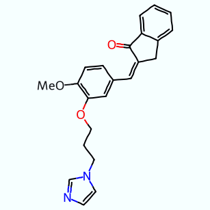 COc1ccc(C=C2Cc3ccccc3C2=O)cc1OCCCn1ccnc1